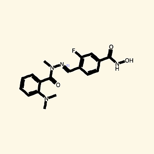 CN(/N=C/c1ccc(C(=O)NO)cc1F)C(=O)c1ccccc1N(C)C